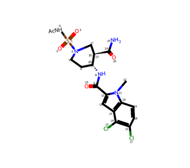 CC(=O)NS(=O)(=O)N1CC[C@@H](NC(=O)c2cc3c(Cl)c(Cl)ccc3n2C)[C@H](C(N)=O)C1